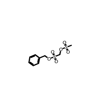 CS(=O)(=O)OCS(=O)(=O)OCc1ccccc1